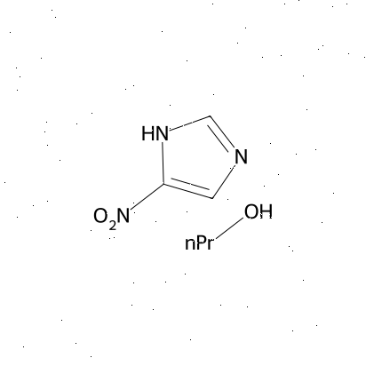 CCCO.O=[N+]([O-])c1cnc[nH]1